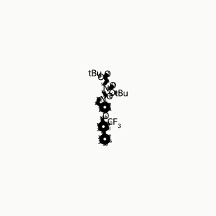 CC(C)(C)OC(=O)CCN(CC(=O)N1CCc2cc(OCc3ccc(-c4ccccc4)cc3C(F)(F)F)ccc21)C(=O)OC(C)(C)C